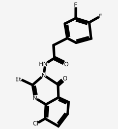 CCc1nc2c(Cl)cccc2c(=O)n1NC(=O)Cc1ccc(F)c(F)c1